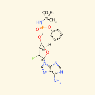 CCOC(=O)[C@H](C)NP(=O)(COC1C2=C(F)[C@H](n3cnc4c(N)ncnc43)O[C@@H]21)Oc1ccccc1